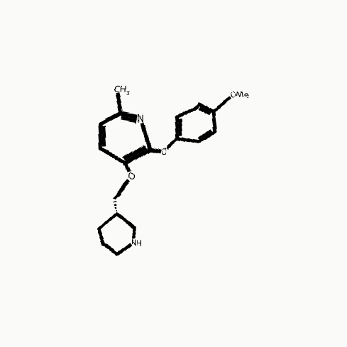 COc1ccc(Oc2nc(C)ccc2OC[C@H]2CCCNC2)cc1